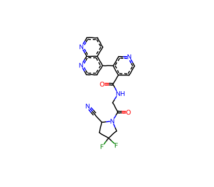 N#CC1CC(F)(F)CN1C(=O)CNC(=O)c1ccncc1-c1ccnc2ncccc12